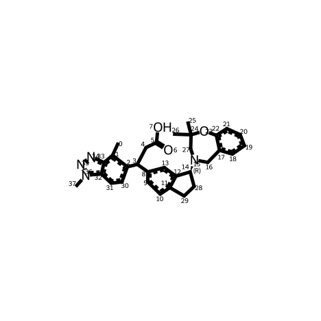 Cc1c(C(CC(=O)O)c2ccc3c(c2)[C@H](N2Cc4ccccc4OC(C)(C)C2)CC3)ccc2c1nnn2C